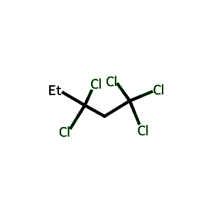 CCC(Cl)(Cl)CC(Cl)(Cl)Cl